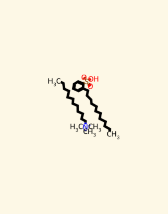 CCCCCCCCCCCC[N+](C)(C)C.CCCCCCCCCCCCc1ccccc1S(=O)(=O)O